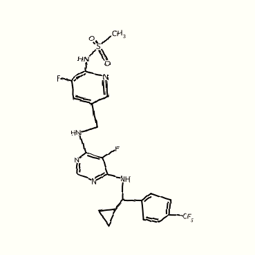 CS(=O)(=O)Nc1ncc(CNc2ncnc(NC(c3ccc(C(F)(F)F)cc3)C3CC3)c2F)cc1F